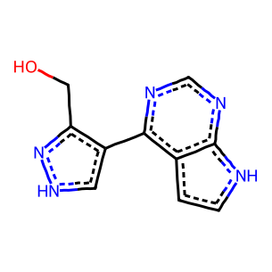 OCc1n[nH]cc1-c1ncnc2[nH]ccc12